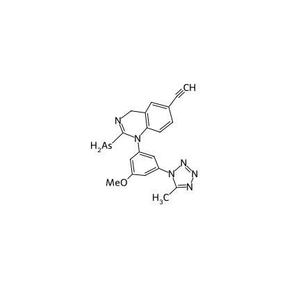 C#Cc1ccc2c(c1)CN=C([AsH2])N2c1cc(OC)cc(-n2nnnc2C)c1